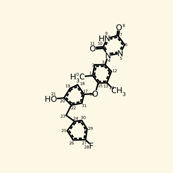 Cc1cc(-n2ncc(=O)[nH]c2=O)cc(C)c1Oc1ccc(O)c(Cc2ccc(F)cc2)c1